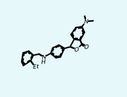 CCc1ccccc1CNc1ccc(C2OC(=O)c3cc(N(C)C)ccc32)cc1